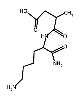 CC(CC(=O)O)C(=O)NC(CCCCN)C(N)=O